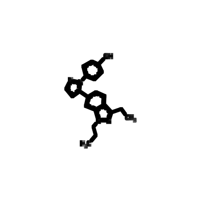 CCCn1nc(CC)c2ccc(-c3ccnn3-c3ccc(O)cc3)cc21